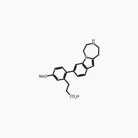 COc1ccc(-c2ccc3cc4n(c3c2)CCNCC4)c(CCC(=O)O)c1